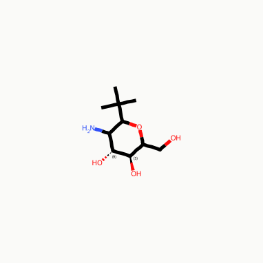 CC(C)(C)C1OC(CO)[C@@H](O)[C@H](O)C1N